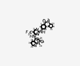 CN(C(=O)c1ccc(Nc2ncc(C(F)(F)F)c(NCc3cccnc3N(C)S(C)(=O)=O)n2)cc1)C1CCCC1